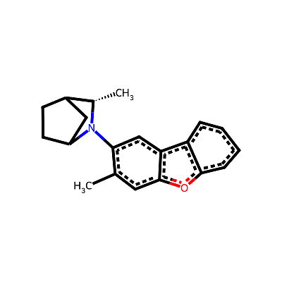 Cc1cc2oc3ccccc3c2cc1N1C2CCC(C2)[C@@H]1C